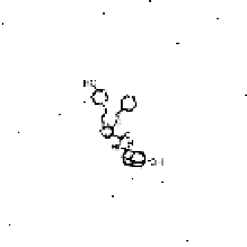 O=C(N[C@H]1C2CC3CC1C[C@](O)(C3)C2)c1cnn(CCN2CCC(O)CC2)c1OCC1CCCCC1